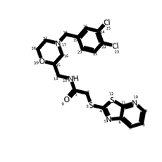 O=C(CSc1nc2cccnc2s1)NCC1CN(Cc2ccc(Cl)c(Cl)c2)CCO1